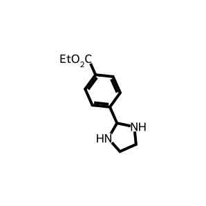 CCOC(=O)c1ccc(C2NCCN2)cc1